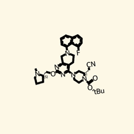 CN1CCC[C@H]1COc1nc2c(c(N3CCN(C(=O)OC(C)(C)C)[C@@H](CC#N)C3)n1)CCN(c1cccc3cccc(F)c13)C2